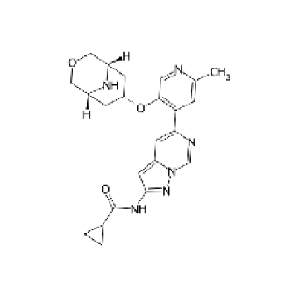 Cc1cc(-c2cc3cc(NC(=O)C4CC4)nn3cn2)c(O[C@H]2C[C@H]3COC[C@@H](C2)N3)cn1